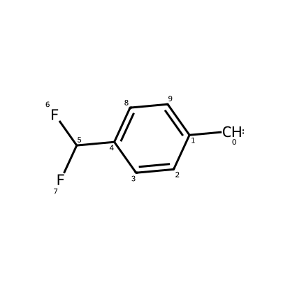 [CH]c1ccc(C(F)F)cc1